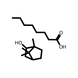 CC1(C)C2CCC1(C)C(O)C2.CCCCCCCC(=O)O